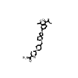 C=C(/C=N\C(=C/C)C(N)=O)N1CCC(CN2CCC3(C2)CN(c2ccc(C(=O)C(C)CC)c(C(C)=O)c2)C3)CC1